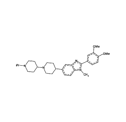 COc1ccc(-c2nc3cc(C4CCN(C5CCN(C(C)C)CC5)CC4)ccc3n2C)cc1OC